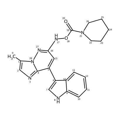 Cc1cnc2c(-c3c[nH]c4ccccc34)cc(NOC(=O)N3CCCCC3)nn12